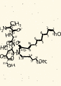 CCCCCCCC/C=C\CCCCCCCC(=O)N(CCCCCCCCCCCCCC)[C@@H]1O[C@H](CO)[C@@H](O)[C@H](O)[C@H]1NC(=O)CNC(=O)[C@H](C)N